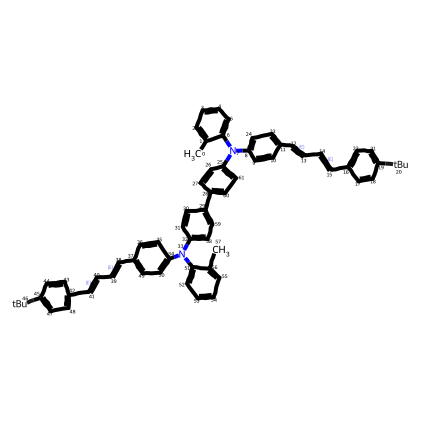 Cc1ccccc1N(c1ccc(/C=C/C=C/c2ccc(C(C)(C)C)cc2)cc1)c1ccc(-c2ccc(N(c3ccc(/C=C/C=C/c4ccc(C(C)(C)C)cc4)cc3)c3ccccc3C)cc2)cc1